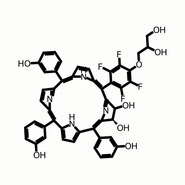 OCC(O)COc1c(F)c(F)c(-c2c3nc(c(-c4cccc(O)c4)c4ccc([nH]4)c(-c4cccc(O)c4)c4nc(c(-c5cccc(O)c5)c5ccc2[nH]5)C=C4)[C@H](O)C3O)c(F)c1F